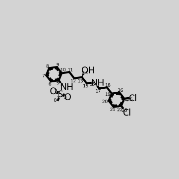 CS(=O)(=O)Nc1ccccc1CC[C@@H](O)CNCCc1ccc(Cl)c(Cl)c1